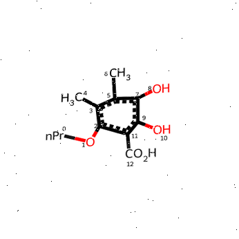 CCCOc1c(C)c(C)c(O)c(O)c1C(=O)O